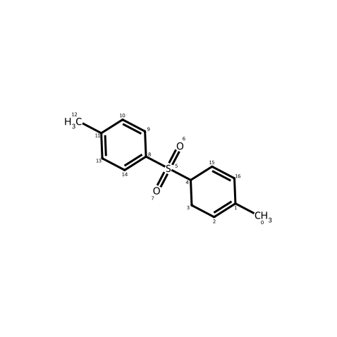 CC1=CCC(S(=O)(=O)c2ccc(C)cc2)C=C1